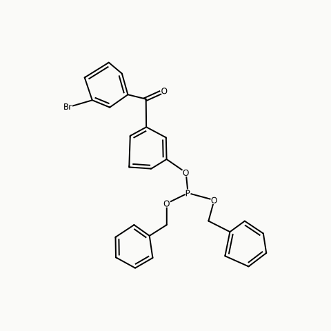 O=C(c1cccc(Br)c1)c1cccc(OP(OCc2ccccc2)OCc2ccccc2)c1